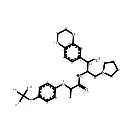 CC(Oc1ccc(OC(F)(F)F)cc1)C(=O)NC(CN1CCCC1)C(O)c1ccc2c(c1)OCCO2